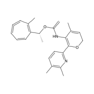 C=C(NC1=C(c2ccc(C)c(C)n2)OCC=C1C)O[C@H](C)C1=C(C)C=C=CC=C1